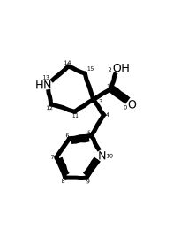 O=C(O)C1(Cc2ccccn2)CCNCC1